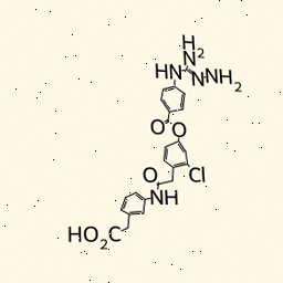 NN=C(N)Nc1ccc(C(=O)Oc2ccc(CC(=O)Nc3cccc(CC(=O)O)c3)c(Cl)c2)cc1